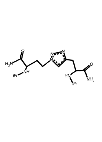 CC(C)NC(CCn1cc(CC(NC(C)C)C(N)=O)nn1)C(N)=O